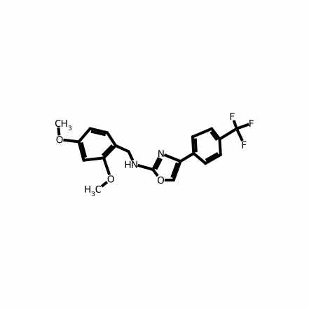 COc1ccc(CNc2nc(-c3ccc(C(F)(F)F)cc3)co2)c(OC)c1